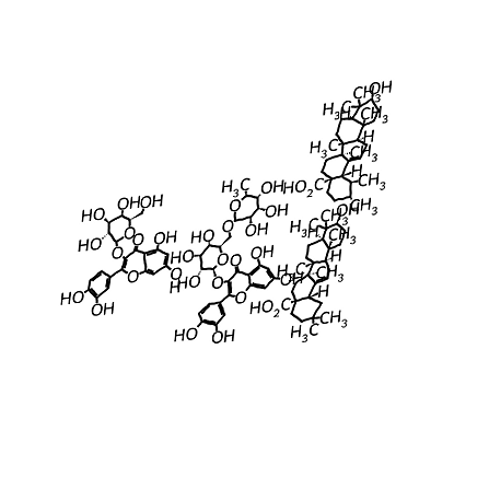 CC1(C)CC[C@]2(C(=O)O)CC[C@]3(C)C(=CC[C@@H]4[C@@]5(C)CC[C@H](O)C(C)(C)[C@@H]5CC[C@]43C)[C@@H]2C1.C[C@@H]1O[C@@H](OC[C@H]2O[C@@H](Oc3c(-c4ccc(O)c(O)c4)oc4cc(O)cc(O)c4c3=O)[C@H](O)[C@@H](O)[C@@H]2O)[C@H](O)[C@H](O)[C@H]1O.C[C@H]1[C@H](C)CC[C@]2(C(=O)O)CC[C@]3(C)C(=CC[C@@H]4[C@@]5(C)CC[C@H](O)C(C)(C)[C@@H]5CC[C@]43C)[C@H]12.O=c1c(OC2O[C@H](CO)[C@H](O)[C@H](O)[C@H]2O)c(-c2ccc(O)c(O)c2)oc2cc(O)cc(O)c12